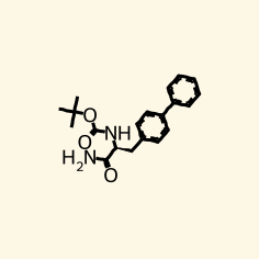 CC(C)(C)OC(=O)N[C@@H](Cc1ccc(-c2ccccc2)cc1)C(N)=O